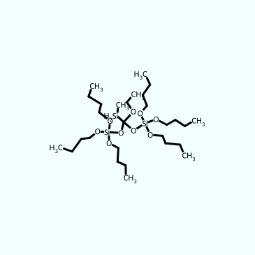 CCCCO[Si](OCCCC)(OCCCC)OC(OCC)(O[Si](OCCCC)(OCCCC)OCCCC)[SiH2]C